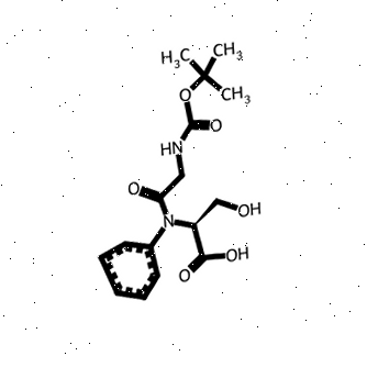 CC(C)(C)OC(=O)NCC(=O)N(c1ccccc1)[C@@H](CO)C(=O)O